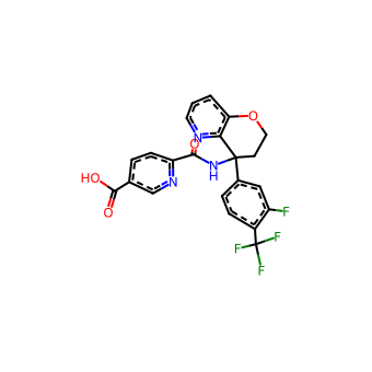 O=C(O)c1ccc(C(=O)NC2(c3ccc(C(F)(F)F)c(F)c3)CCOc3cccnc32)nc1